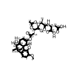 COc1ccc2c3c1O[C@H]1C(OC(=O)C[C@H](OC(C)=O)C(=O)O[C@@H](C)C(=O)N[C@H](CC(=O)O)C(=O)O)=CC[C@@]4(O)[C@@H](C2)N(C)CC[C@]314